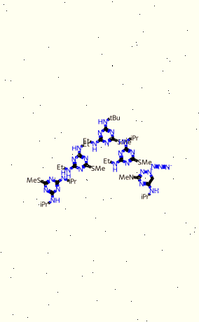 CCNc1nc(NC(C)(C)C)nc(SC)n1.CCNc1nc(NC(C)C)nc(SC)n1.CCNc1nc(NCC)nc(SC)n1.CNC1=NN(N=[N+]=[N-])CC(NC(C)C)=N1.CSc1nc(NC(C)C)nc(NC(C)C)n1